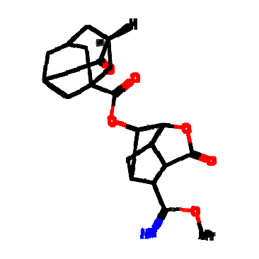 CCCOC(=N)C1C2CC3C(OC(=O)C31)C2OC(=O)C12CC3CC(C1)C(=O)[C@H](C3)C2